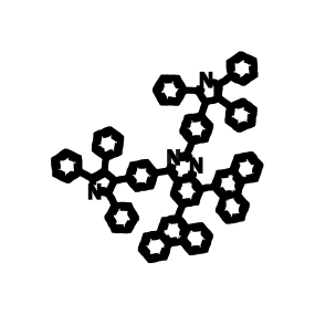 c1ccc(C2=NC(c3ccccc3)=C(c3ccccc3)C2c2ccc(-c3nc(-c4ccc(C5C(c6ccccc6)=NC(c6ccccc6)=C5c5ccccc5)cc4)c4cc(-c5cc6ccccc6c6ccccc56)cc(-c5cc6ccccc6c6ccccc56)c4n3)cc2)cc1